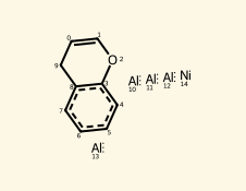 C1=COc2ccccc2C1.[Al].[Al].[Al].[Al].[Ni]